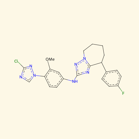 COc1cc(Nc2nc3n(n2)CCCCC3c2ccc(F)cc2)ccc1-n1cnc(Cl)n1